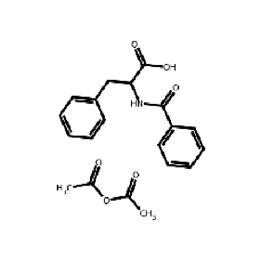 CC(=O)OC(C)=O.O=C(NC(Cc1ccccc1)C(=O)O)c1ccccc1